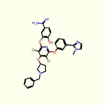 Cn1ccnc1-c1cccc(Oc2nc(Oc3cc(C(=N)N)ccc3O)c(Cl)c(OC3CCN(Cc4ccccc4)C3)c2Cl)c1